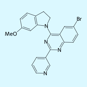 COc1ccc2c(c1)N(c1nc(-c3cccnc3)nc3ccc(Br)cc13)CC2